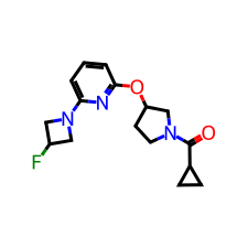 O=C(C1CC1)N1CCC(Oc2cccc(N3CC(F)C3)n2)C1